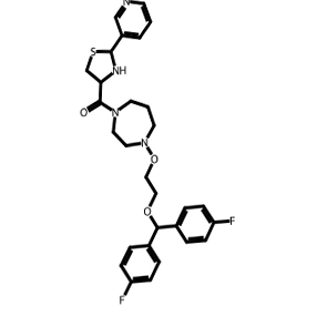 O=C(C1CSC(c2cccnc2)N1)N1CCCN(OCCOC(c2ccc(F)cc2)c2ccc(F)cc2)CC1